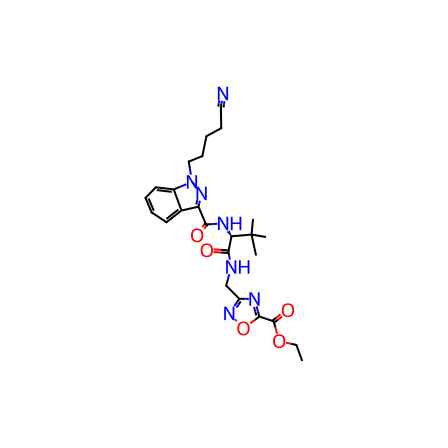 CCOC(=O)c1nc(CNC(=O)[C@@H](NC(=O)c2nn(CCCCC#N)c3ccccc23)C(C)(C)C)no1